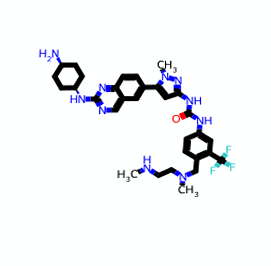 CNCCN(C)Cc1ccc(NC(=O)Nc2cc(-c3ccc4nc(N[C@H]5CC[C@H](N)CC5)ncc4c3)n(C)n2)cc1C(F)(F)F